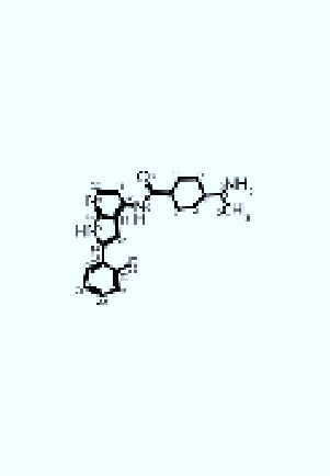 CC(N)C1CCC(C(=O)Nc2ccnc3[nH]c(-c4ccccc4F)cc23)CC1